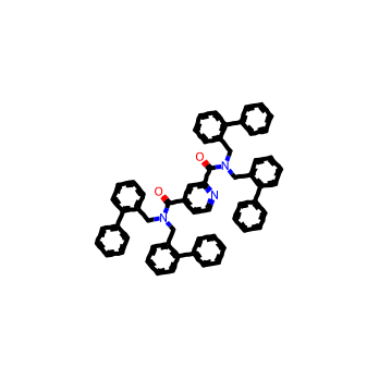 O=C(c1ccnc(C(=O)N(Cc2ccccc2-c2ccccc2)Cc2ccccc2-c2ccccc2)c1)N(Cc1ccccc1-c1ccccc1)Cc1ccccc1-c1ccccc1